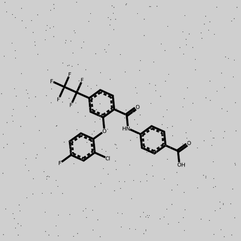 O=C(O)c1ccc(NC(=O)c2ccc(C(F)(F)C(F)(F)F)cc2Oc2ccc(F)cc2Cl)cc1